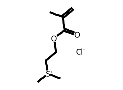 C=C(C)C(=O)OCC[S+](C)C.[Cl-]